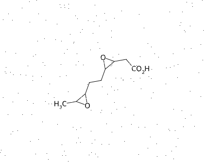 CC1OC1CCC1OC1CC(=O)O